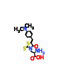 CN(C)c1ccc(/C=C2\SC(=S)N(CC(N)C(=O)O)C2=O)cc1